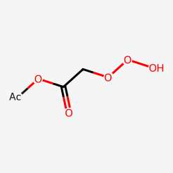 CC(=O)OC(=O)COOO